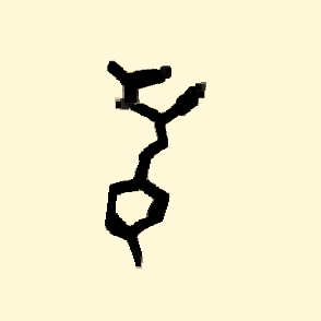 CC(=O)NC(C#N)CCc1ccc(F)cc1